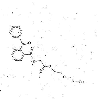 O=C(COC(=O)c1ccccc1C(=O)c1ccccc1)OCCOCCO